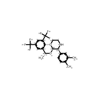 Cc1ccc([C@@H]2NCCO[C@@H]2O[C@H](C)c2cc(C(F)(F)F)cc(C(F)(F)F)c2)cc1C